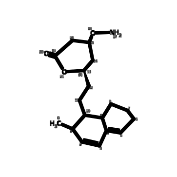 CC1C=CC2=CCCCC2C1CC[C@@H]1CC(ON)CC(=O)O1